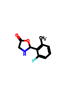 [CH2]c1cccc(F)c1C1NCC(=O)O1